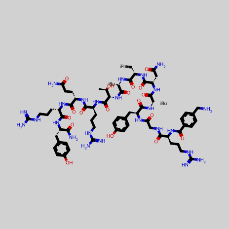 CC[C@H](C)[C@H](NC(=O)[C@H](Cc1ccc(O)cc1)NC(=O)CNC(=O)[C@H](CCCNC(=N)N)NC(=O)c1ccc(CN)cc1)C(=O)N[C@@H](CC(N)=O)C(=O)N[C@@H](CC(C)C)C(=O)N[C@H](C(=O)N[C@H](C(=O)N[C@@H](CCCNC(=N)N)C(=O)N[C@@H](CCC(N)=O)C(=O)N[C@@H](CCCNC(=N)N)C(=O)N[C@@H](Cc1ccc(O)cc1)C(N)=O)[C@@H](C)O)[C@@H](C)CC